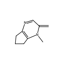 C=C1C=NC2=C(CCC2)N1C